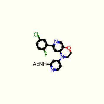 CC(=O)Nc1cc(N2CCOc3cnc(-c4cc(Cl)ccc4F)cc32)ccn1